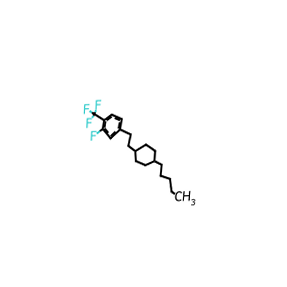 CCCCCC1CCC(CCc2ccc(C(F)(F)F)c(F)c2)CC1